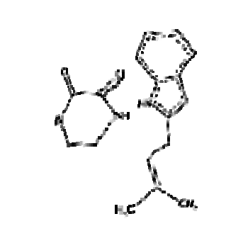 CC(C)=CCc1cc2ccccc2[nH]1.O=C1NCCNC1=O